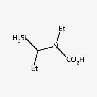 CCC([SiH3])N(CC)C(=O)O